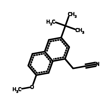 COc1ccc2cc(C(C)(C)C)cc(CC#N)c2c1